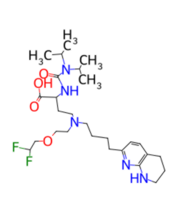 CC(C)N(C(=O)NC(CCN(CCCCc1ccc2c(n1)NCCC2)CCOCC(F)F)C(=O)O)C(C)C